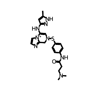 Cc1cc(NC2=CN(Sc3ccc(NC(=O)CCN(C)C)cc3)CC3=NC=C[N+]23)n[nH]1